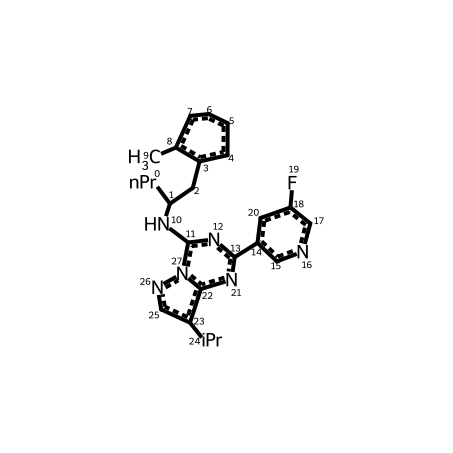 CCCC(Cc1ccccc1C)Nc1nc(-c2cncc(F)c2)nc2c(C(C)C)cnn12